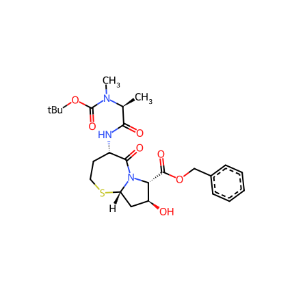 C[C@@H](C(=O)N[C@H]1CCS[C@H]2C[C@H](O)[C@@H](C(=O)OCc3ccccc3)N2C1=O)N(C)C(=O)OC(C)(C)C